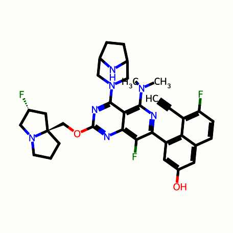 C#Cc1c(F)ccc2cc(O)cc(-c3nc(N(C)C)c4c(N5CC6CCC(C5)N6)nc(OC[C@@]56CCCN5C[C@H](F)C6)nc4c3F)c12